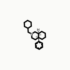 c1ccc([C@]23CCCC[C@@H]2CN(CC2CCCCC2)CC3)cc1